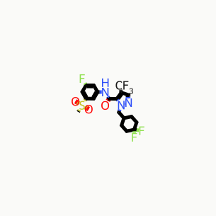 CS(=O)(=O)c1cc(F)cc(NC(=O)c2c(C(F)(F)F)cnn2CC2CCC(F)(F)CC2)c1